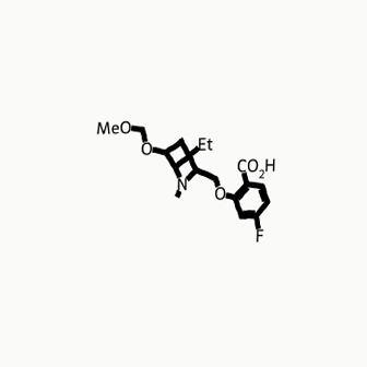 CCC12CC(OCOC)C1N(C)C2COc1cc(F)ccc1C(=O)O